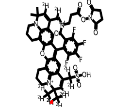 [2H]C1=C(C([2H])[2H])c2cc3c(c4c2N(CCC4)C1(C)C)Oc1c2c4c(cc1=C3c1c(F)c(F)c(F)c(F)c1C(=O)N(C)CCC(=O)ON1C(=O)CCC1=O)C(C([2H])([2H])S(=O)(=O)O)=C([2H])C(C([2H])([2H])[2H])(C([2H])([2H])[2H])[N+]=4CCC2